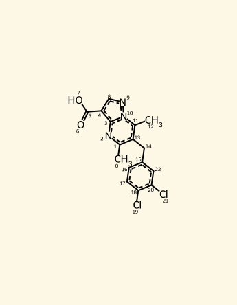 Cc1nc2c(C(=O)O)cnn2c(C)c1Cc1ccc(Cl)c(Cl)c1